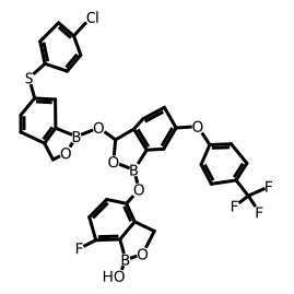 OB1OCc2c(OB3OC(OB4OCc5ccc(Sc6ccc(Cl)cc6)cc54)c4ccc(Oc5ccc(C(F)(F)F)cc5)cc43)ccc(F)c21